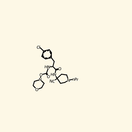 CCCN1CCC(C#N)(NC(=O)C(Cc2ccc(Cl)cc2)NC(=O)ON2CCOCC2)CC1